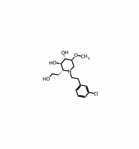 CO[C@H]1CN(CCc2cccc(Cl)c2)[C@H](CCO)[C@@H](O)[C@@H]1O